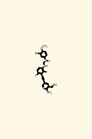 COc1ccc([S+]([O-])CNc2ccc(F)c(C#Cc3cnc(N)c(C=N)c3)c2F)cc1Br